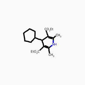 CCOC(=O)C1=C(C)NC(C)=C(C(=O)OCC)C1C1CCCCC1